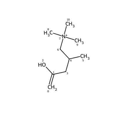 C=C(O)CC(C)C[N+](C)(C)C